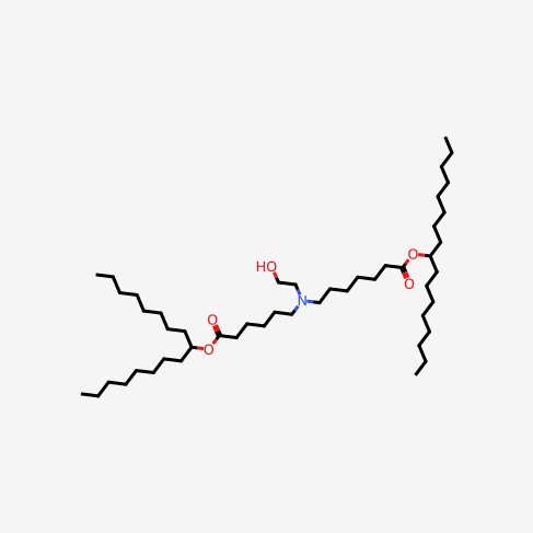 CCCCCCCCC(CCCCCCCC)OC(=O)CCCCCCN(CCO)CCCCCC(=O)OC(CCCCCCCC)CCCCCCCC